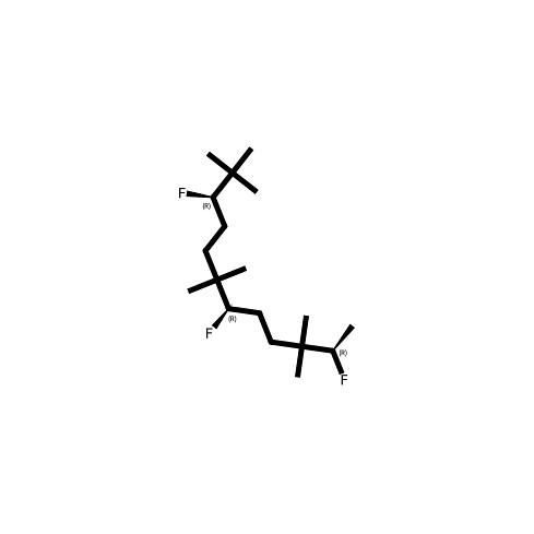 C[C@@H](F)C(C)(C)CC[C@@H](F)C(C)(C)CC[C@@H](F)C(C)(C)C